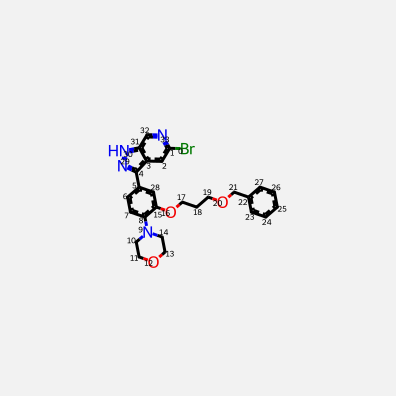 Brc1cc2c(-c3ccc(N4CCOCC4)c(OCCCOCc4ccccc4)c3)n[nH]c2cn1